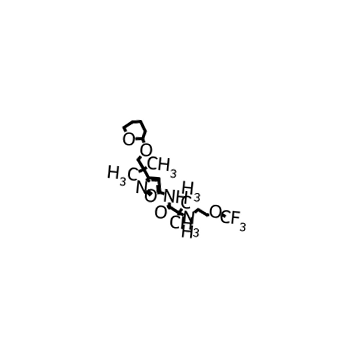 CC(C)(NCCOC(F)(F)F)C(=O)Nc1cc(C(C)(C)COC2CCCCO2)no1